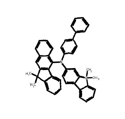 CC1(C)c2ccccc2-c2c1cc1ccccc1c2N(c1ccc(-c2ccccc2)cc1)c1ccc2c(c1)[Si](C)(C)c1ccccc1-2